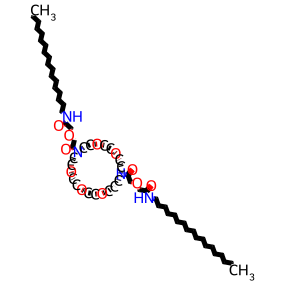 CCCCCCCCCCCCCCCCCCNC(=O)COCC(=O)N1CCCOCCOCCOCCN(C(=O)COCC(=O)NCCCCCCCCCCCCCCCCCC)CCOCCOCC1